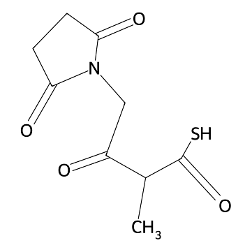 CC(C(=O)S)C(=O)CN1C(=O)CCC1=O